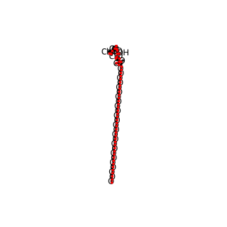 COCCOCCOCCOCCOCCOCCOCCOCCOCCOCCOCCOCCOCCOCCOCCOCCOCCOCCOCCOCCOCCOCCOCCOCCOCc1cc(OC)c(-c2ccc(C[C@H](NC(=O)[C@@H]3CCCN3S(=O)(=O)c3cc(Cl)cc(Cl)c3)C(=O)O)cc2)c(OC)c1